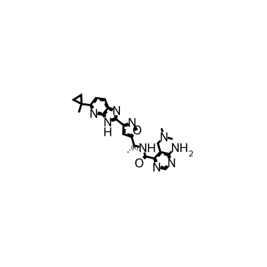 C[C@@H](NC(=O)c1ncnc(N)c1CN(C)C)c1cc(-c2nc3ccc(C4(C)CC4)nc3[nH]2)no1